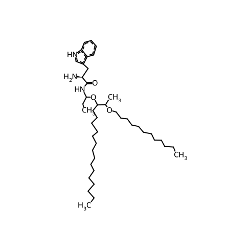 CCCCCCCCCCCCCCCC(OC(CC)NC(=O)[C@@H](N)Cc1c[nH]c2ccccc12)C(C)OCCCCCCCCCCCC